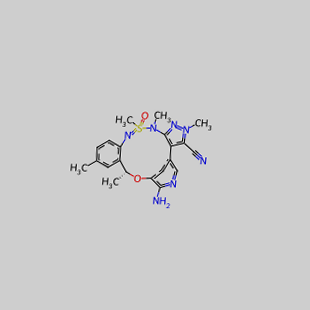 Cc1ccc2c(c1)[C@@H](C)Oc1cc(cnc1N)-c1c(nn(C)c1C#N)N(C)S(C)(=O)=N2